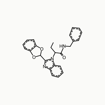 CCC(C(=O)NCc1ccccc1)n1c(C2Oc3ccccc3O2)nc2ccccc21